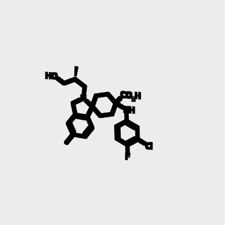 Cc1ccc2c(c1)CN(C[C@@H](C)CO)C21CCC(Nc2ccc(F)c(Cl)c2)(C(=O)O)CC1